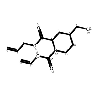 C=CCOC(=O)C1CC(CC#N)CCN1C(=O)OC=C